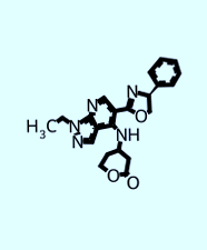 CCn1ncc2c(NC3CCOC(=O)C3)c(C3=N[C@@H](c4ccccc4)CO3)cnc21